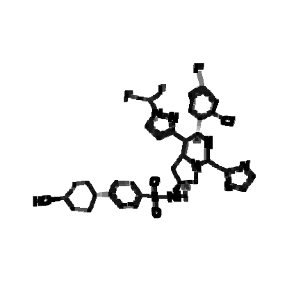 O=S(=O)(N[C@H]1CC2=C(c3ccn(C(F)F)n3)[C@H](c3ccc(F)cc3Cl)N=C(c3nccs3)N2C1)c1ccc([C@H]2CC[C@H](O)CC2)cc1